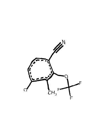 Cc1c(Cl)ccc(C#N)c1OC(F)(F)F